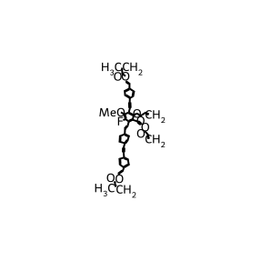 C=CC(=O)OC#Cc1c(/C=C/c2ccc(C#Cc3ccc(/C=C/OC(=O)C(=C)C)cc3)cc2)c(F)c(OC)c(C#Cc2ccc(/C=C/OC(=O)C(=C)C)cc2)c1OC(=O)C=C